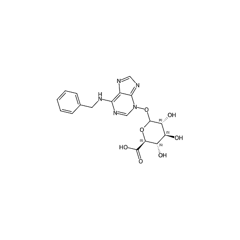 O=C(O)[C@H]1OC(On2cnc(NCc3ccccc3)c3ncnc2-3)[C@H](O)[C@@H](O)[C@@H]1O